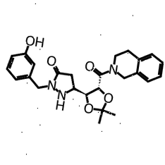 CC1(C)O[C@@H](C(=O)N2CCc3ccccc3C2)[C@H](C2CC(=O)N(Cc3cccc(O)c3)N2)O1